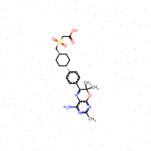 Cc1nc(N)c2c(n1)OC(C)(C)C(c1ccc([C@H]3CC[C@H](CS(=O)(=O)CC(=O)O)CC3)cc1)=N2